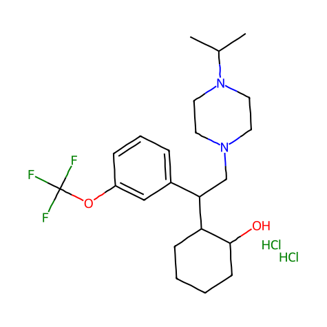 CC(C)N1CCN(CC(c2cccc(OC(F)(F)F)c2)C2CCCCC2O)CC1.Cl.Cl